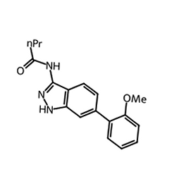 CCCC(=O)Nc1n[nH]c2cc(-c3ccccc3OC)ccc12